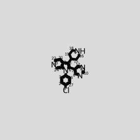 Clc1ccc(-n2c(-c3cncnc3)c(C3CCNCC3)c3ccncc32)cc1